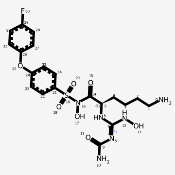 NCCCC[C@@H](N/C(=N\C(N)=O)NO)C(=O)N(O)S(=O)(=O)c1ccc(Oc2ccc(F)cc2)cc1